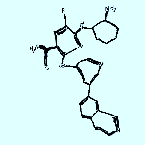 NC(=O)c1cc(F)c(N[C@@H]2CCCC[C@@H]2N)nc1Nc1cncc(-c2ccc3ccncc3c2)c1